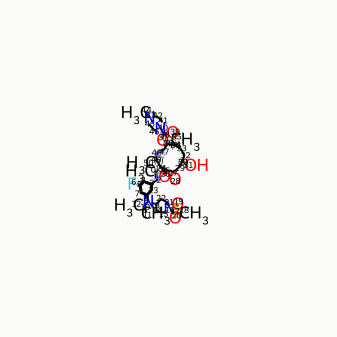 C/C(=C\c1cc(F)cc(N(C(C)C)C2CCN(S(C)(=O)=O)CC2)c1)[C@H]1C(=O)C(=O)C[C@@H](O)CC[C@@H](C)[C@@H](OC(=O)N2CCN(C)CC2)/C=C/[C@@H]1C